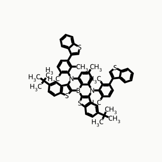 Cc1cc2c3c(c1)N(c1c(C)ccc(-c4csc5ccccc45)c1C)c1c(sc4ccc(C(C)(C)C)cc14)B3c1sc3ccc(C(C)(C)C)cc3c1N2c1c(C)ccc(-c2csc3ccccc23)c1C